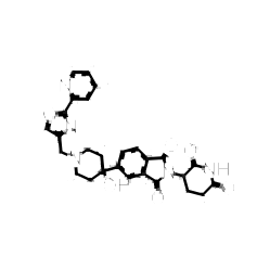 O=C1CCC(N2C(=O)c3ccc(C4(O)CCN(Cc5coc(-c6ccccn6)n5)CC4)cc3C2=O)C(=O)N1